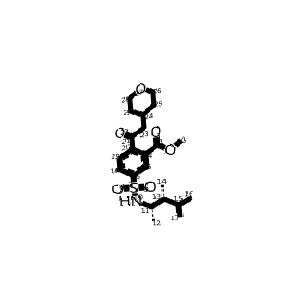 COC(=O)c1cc(S(=O)(=O)N[C@@H](C)[C@H](C)C(C)C)ccc1C(=O)CC1CCOCC1